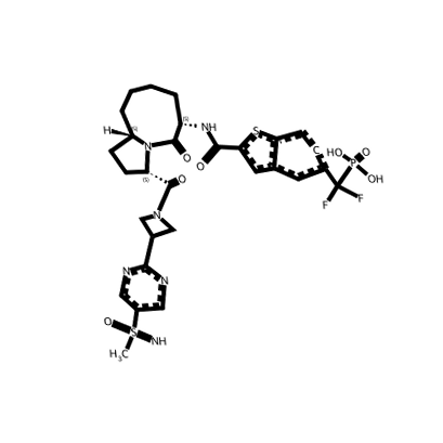 CS(=N)(=O)c1cnc(C2CN(C(=O)[C@@H]3CC[C@@H]4CCCC[C@H](NC(=O)c5cc6cc(C(F)(F)P(=O)(O)O)ccc6s5)C(=O)N43)C2)nc1